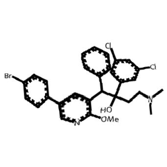 COc1ncc(-c2ccc(Br)cc2)cc1C(c1ccccc1)C(O)(CCN(C)C)c1cc(Cl)cc(Cl)c1